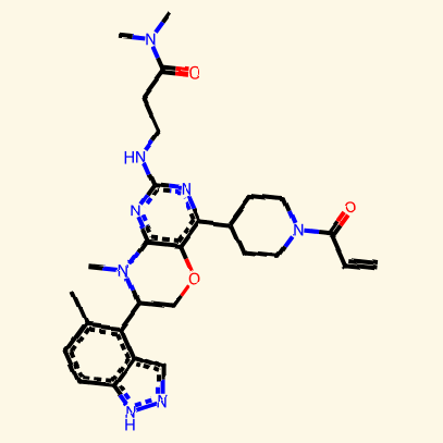 C=CC(=O)N1CCC(c2nc(NCCC(=O)N(C)C)nc3c2OCC(c2c(C)ccc4[nH]ncc24)N3C)CC1